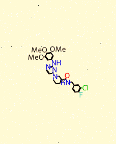 COc1cc(Nc2nccc(N3CCC[C@H](C(=O)NCc4ccc(F)c(Cl)c4)C3)n2)cc(OC)c1OC